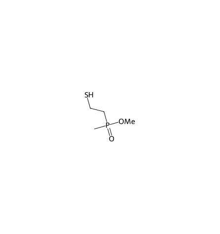 COP(C)(=O)CCS